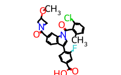 COC1CN(C(=O)c2ccc3c(-c4ccc(C(=O)O)cc4F)cn(C(=O)c4c(C)cccc4Cl)c3c2)C1